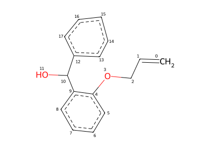 C=CCOc1ccccc1C(O)c1ccccc1